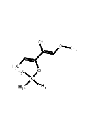 C/C=C(O[Si](C)(C)C)/C(C)=C/OC